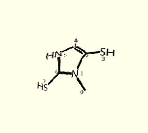 CN1C(S)=INC1S